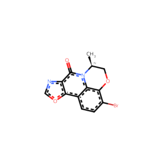 C[C@H]1COc2c(Br)ccc3c4ocnc4c(=O)n1c23